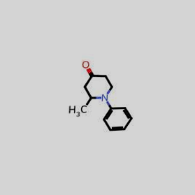 CC1CC(=O)CCN1c1ccccc1